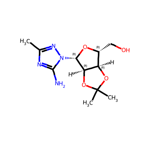 Cc1nc(N)n([C@@H]2O[C@H](CO)[C@H]3OC(C)(C)O[C@H]32)n1